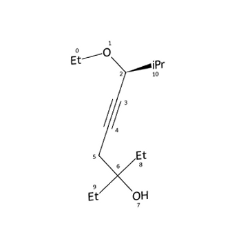 CCO[C@H](C#CCC(O)(CC)CC)C(C)C